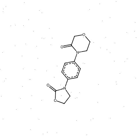 O=C1COCCN1c1ccc(N2CCOC2=O)cc1